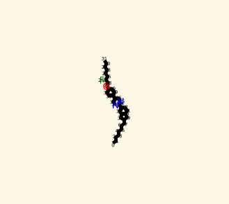 CCCCCCCCC1Cc2ccc(-c3ncc(-c4ccc(OCC(F)CCCCCC)cc4)cn3)cc2C1